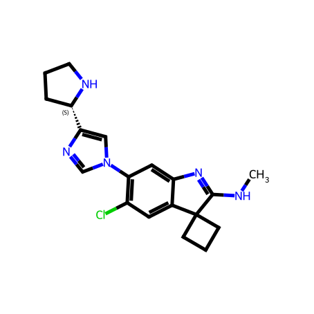 CNC1=Nc2cc(-n3cnc([C@@H]4CCCN4)c3)c(Cl)cc2C12CCC2